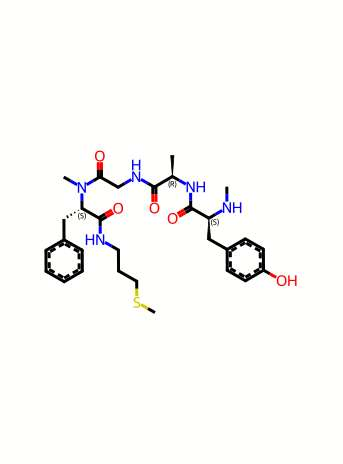 CN[C@@H](Cc1ccc(O)cc1)C(=O)N[C@H](C)C(=O)NCC(=O)N(C)[C@@H](Cc1ccccc1)C(=O)NCCCSC